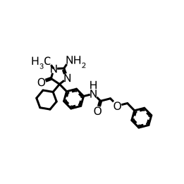 CN1C(=O)C(c2cccc(NC(=O)COCc3ccccc3)c2)(C2CCCCC2)N=C1N